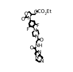 CCOC(=O)OCC1COC(=O)N1c1cc(F)c(N2CCN(C(=O)CNC(=O)c3cn4ccncc4n3)CC2)c(F)c1